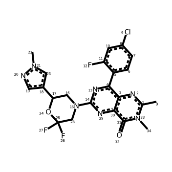 Cc1nc2c(-c3ccc(Cl)cc3F)nc(N3CC(c4cnn(C)c4)OC(F)(F)C3)nc2c(=O)n1C